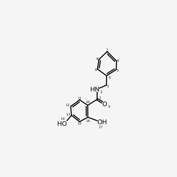 O=C(NCc1ccccc1)c1ccc(O)cc1O